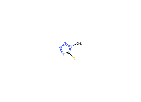 Cn1nnnc1[S]